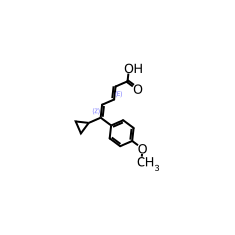 COc1ccc(/C(=C\C=C\C(=O)O)C2CC2)cc1